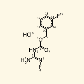 Cl.NC(=NF)NC(=O)OCc1cccc(F)c1